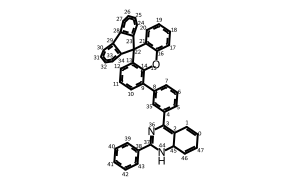 C1=CC2=C(c3cccc(-c4cccc5c4Oc4ccccc4C54c5ccccc5-c5ccccc54)c3)N=C(c3ccccc3)NC2C=C1